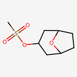 CS(=O)(=O)OC1CC2CCC(C1)O2